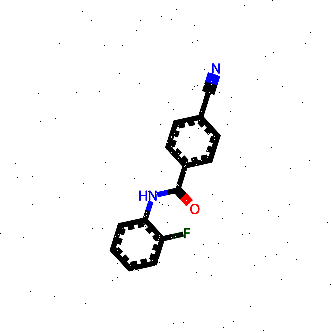 N#Cc1ccc(C(=O)Nc2ccccc2F)cc1